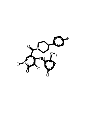 CCn1cc(C(=O)N2CCC(c3ccc(F)cc3)CC2)c(Nc2cc(Cl)ccc2C)c(Cl)c1=O